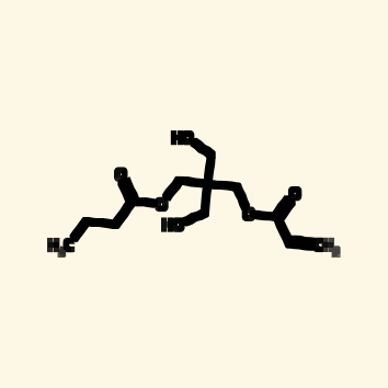 C=CC(=O)OCC(CO)(CO)COC(=O)CCC